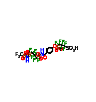 O=C(NS(=O)(=O)C(F)(F)C(F)(F)C(F)(F)S(=O)(=O)NS(=O)(=O)C(F)(F)F)c1ccc(OS(=O)(=O)C(F)(F)C(F)(F)C(F)(F)S(=O)(=O)O)cc1